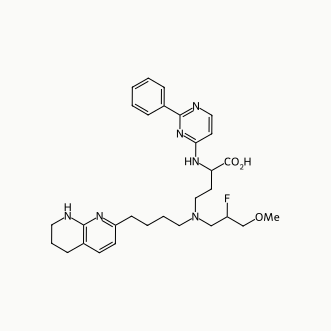 COCC(F)CN(CCCCc1ccc2c(n1)NCCC2)CCC(Nc1ccnc(-c2ccccc2)n1)C(=O)O